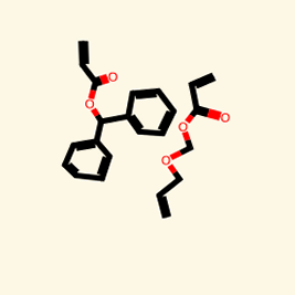 C=CC(=O)OC(c1ccccc1)c1ccccc1.C=CCOCOC(=O)C=C